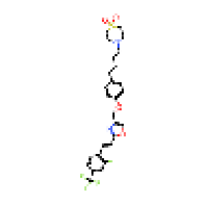 O=S1(=O)CCN(CCCCc2ccc(OCc3coc(C=Cc4ccc(C(F)(F)F)cc4F)n3)cc2)CC1